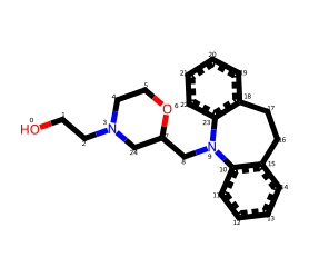 OCCN1CCOC(CN2c3ccccc3CCc3ccccc32)C1